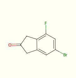 O=C1Cc2cc(Br)cc(F)c2C1